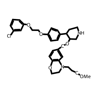 COCCCN1CCOc2ccc(COC3CNCCC3c3ccc(OCCOc4cccc(Cl)c4)cc3)cc21